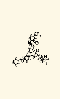 C[Si](C)(C)CCOC(=O)[C@H]1[C@H](Cn2nnc3ccc(C(F)(F)F)cc3c2=O)CC[C@@H]1C(=O)c1ccc(OCC2CCCCC2)cc1